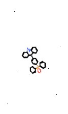 O=P(c1ccccc1)(c1ccccc1)c1ccc(-c2c3ccccc3nc3ccccc23)cc1